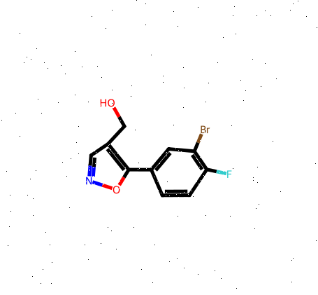 OCc1cnoc1-c1ccc(F)c(Br)c1